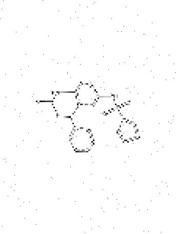 O=S(=O)(Nc1ccc2c(c1)C(c1ccccc1)OC(=S)N2)c1cccs1